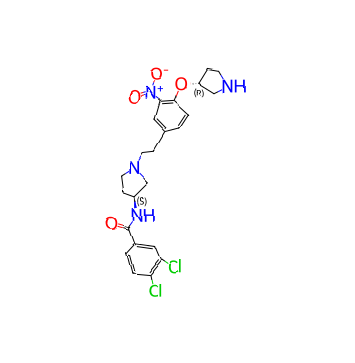 O=C(N[C@H]1CCN(CCc2ccc(O[C@@H]3CCNC3)c([N+](=O)[O-])c2)C1)c1ccc(Cl)c(Cl)c1